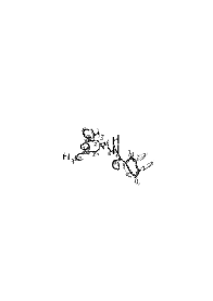 C[C@H]1CN(CCNC(=O)c2ccccc2)C[C@H](C)O1